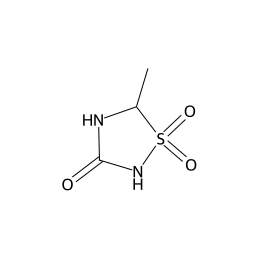 CC1NC(=O)NS1(=O)=O